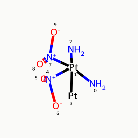 [NH2][Pt]([NH2])([Pt])([N+](=O)[O-])[N+](=O)[O-]